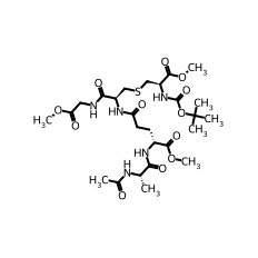 COC(=O)CNC(=O)[C@@H](CSC[C@H](NC(=O)OC(C)(C)C)C(=O)OC)NC(=O)CC[C@@H](NC(=O)[C@H](C)NC(C)=O)C(=O)OC